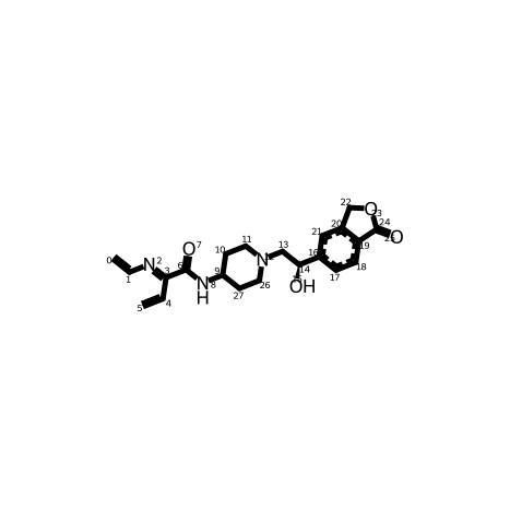 C=C/N=C(\C=C)C(=O)NC1CCN(C[C@H](O)c2ccc3c(c2)COC3=O)CC1